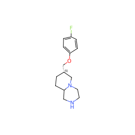 Fc1ccc(OC[C@H]2CCC3CNCCN3C2)cc1